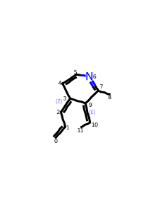 C=C/C=c1/ccnc(C)/c1=C/C